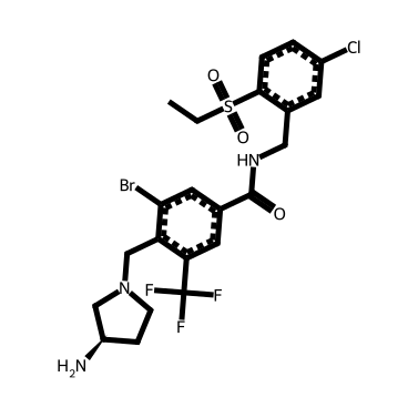 CCS(=O)(=O)c1ccc(Cl)cc1CNC(=O)c1cc(Br)c(CN2CC[C@@H](N)C2)c(C(F)(F)F)c1